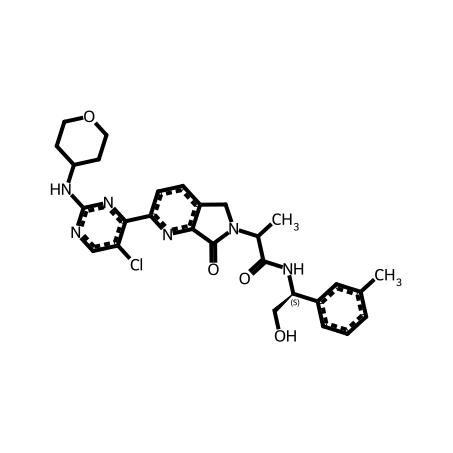 Cc1cccc([C@@H](CO)NC(=O)C(C)N2Cc3ccc(-c4nc(NC5CCOCC5)ncc4Cl)nc3C2=O)c1